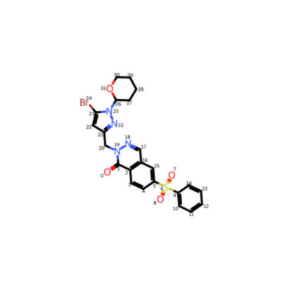 O=c1c2ccc(S(=O)(=O)c3ccccc3)cc2cnn1Cc1cc(Br)n(C2CCCCO2)n1